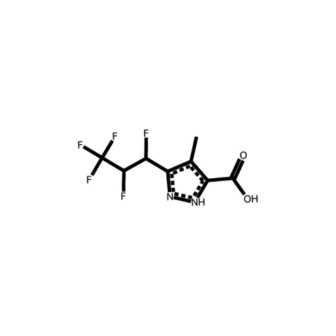 Cc1c(C(F)C(F)C(F)(F)F)n[nH]c1C(=O)O